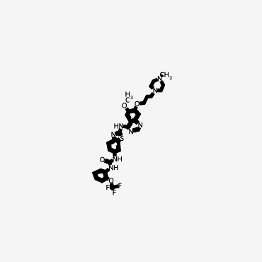 COc1cc2c(Nc3nc4ccc(NC(=O)Nc5ccccc5OC(F)(F)F)cc4s3)ncnc2cc1OCCCN1CCN(C)CC1